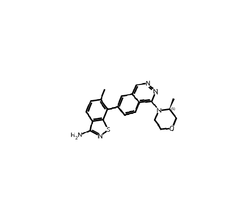 Cc1ccc2c(N)nsc2c1-c1ccc2c(N3CCOC[C@@H]3C)nncc2c1